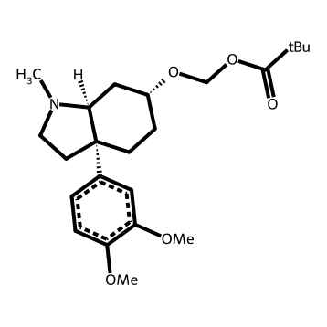 COc1ccc([C@@]23CC[C@@H](OCOC(=O)C(C)(C)C)C[C@@H]2N(C)CC3)cc1OC